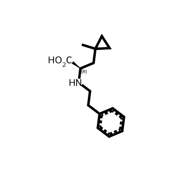 CC1(C[C@@H](NCCc2ccccc2)C(=O)O)CC1